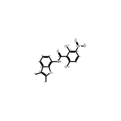 Cc1oc2c(NC(=O)c3c(Cl)ccc([N+](=O)[O-])c3Cl)cccc2c1C